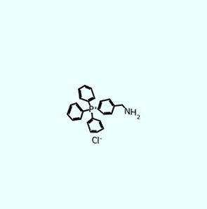 NCc1ccc([P+](c2ccccc2)(c2ccccc2)c2ccccc2)cc1.[Cl-]